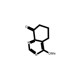 COc1ncnc2c1CCCC2=O